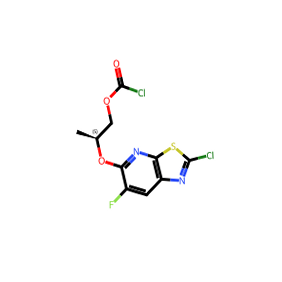 C[C@@H](COC(=O)Cl)Oc1nc2sc(Cl)nc2cc1F